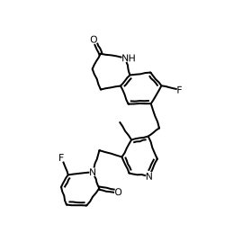 Cc1c(Cc2cc3c(cc2F)NC(=O)CC3)cncc1Cn1c(F)cccc1=O